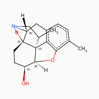 Cc1ccc2c3c1O[C@H]1[C@@H](O)CC[C@]45OCN(CC(C)[C@]314)[C@@H]5C2